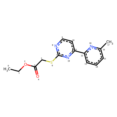 CCOC(=O)CSc1nccc(-c2cccc(C)n2)n1